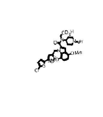 COc1ccc(OC)c2c1cc(C(=O)N(CC(=O)O)C1CCN(C(C)C)CC1)n2Cc1cc(-c2ccc(Cl)s2)on1